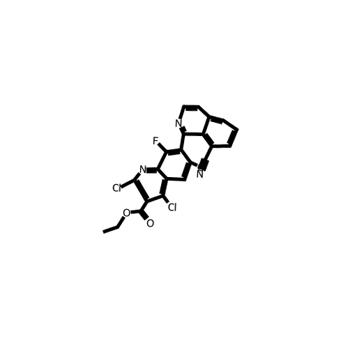 CCOC(=O)c1c(Cl)nc2c(F)c(-c3nccc4cccc(C#N)c34)c(Cl)cc2c1Cl